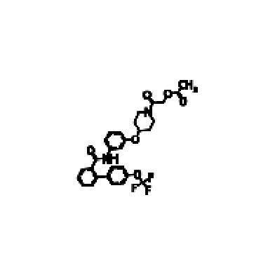 CC(=O)OCC(=O)N1CCC(Oc2cccc(NC(=O)c3ccccc3-c3ccc(OC(F)(F)F)cc3)c2)CC1